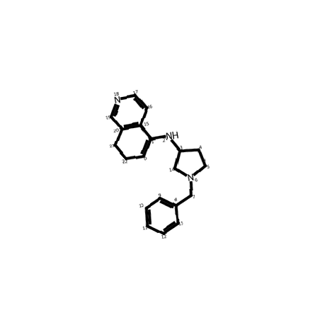 C1=C(NC2CCN(Cc3ccccc3)C2)c2ccncc2CC1